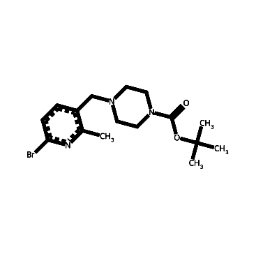 Cc1nc(Br)ccc1CN1CCN(C(=O)OC(C)(C)C)CC1